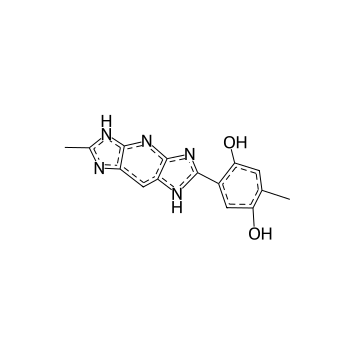 Cc1nc2cc3[nH]c(-c4cc(O)c(C)cc4O)nc3nc2[nH]1